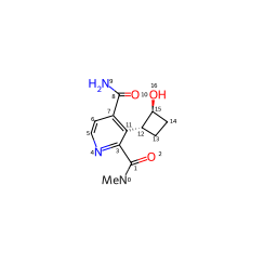 CNC(=O)c1nccc(C(N)=O)c1[C@H]1CC[C@@H]1O